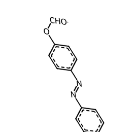 O=[C]Oc1ccc(/N=N/c2ccccc2)cc1